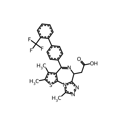 Cc1sc2c(c1C)C(c1ccc(-c3ccccc3C(F)(F)F)cc1)=NC(CC(=O)O)c1nnc(C)n1-2